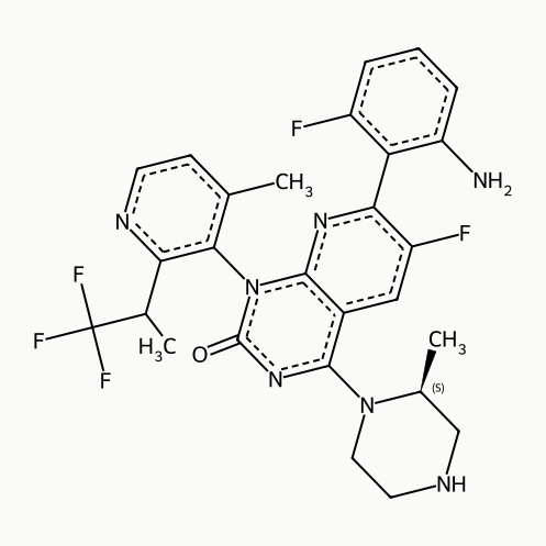 Cc1ccnc(C(C)C(F)(F)F)c1-n1c(=O)nc(N2CCNC[C@@H]2C)c2cc(F)c(-c3c(N)cccc3F)nc21